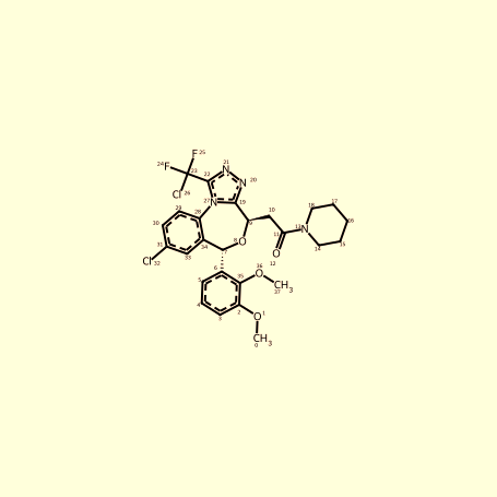 COc1cccc([C@H]2O[C@H](CC(=O)N3CCCCC3)c3nnc(C(F)(F)Cl)n3-c3ccc(Cl)cc32)c1OC